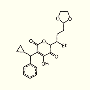 CCC(CCC1OCCO1)C1OC(=O)C(C(c2ccccc2)C2CC2)=C(O)C1=O